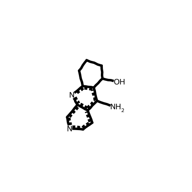 Nc1c2c(nc3cnccc13)CCCC2O